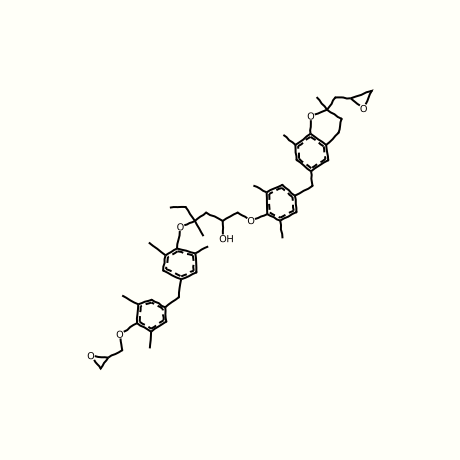 CCC(C)(CC(O)COc1c(C)cc(Cc2cc(C)c3c(c2)CCC(C)(CC2CO2)O3)cc1C)Oc1c(C)cc(Cc2cc(C)c(OCC3CO3)c(C)c2)cc1C